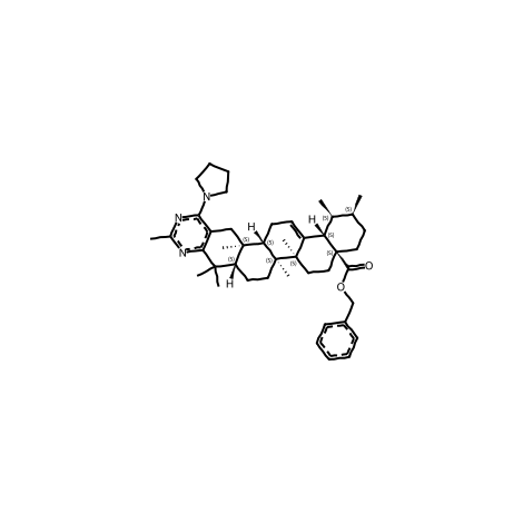 Cc1nc(N2CCCC2)c2c(n1)C(C)(C)[C@H]1CC[C@@]3(C)[C@@H](CC=C4[C@@H]5[C@@H](C)[C@@H](C)CC[C@]5(C(=O)OCc5ccccc5)CC[C@]43C)[C@]1(C)C2